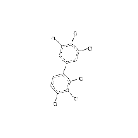 Clc1cc(-c2ccc(Cl)c(Cl)c2Cl)cc(Cl)c1Cl